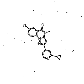 Cn1c(=O)c2cc(Cl)ccc2n2nc(-c3ccnc(C4CC4)c3)cc12